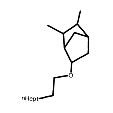 CCCCCCCCCOC1CC2CC1C(C)C2C